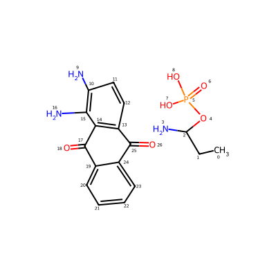 CCC(N)OP(=O)(O)O.Nc1ccc2c(c1N)C(=O)c1ccccc1C2=O